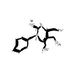 O=C(O)c1c(C(=O)[O-])n(-c2ccccc2)c(=O)[nH]c1=O.[Na+]